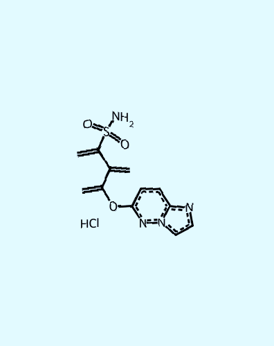 C=C(Oc1ccc2nccn2n1)C(=C)C(=C)S(N)(=O)=O.Cl